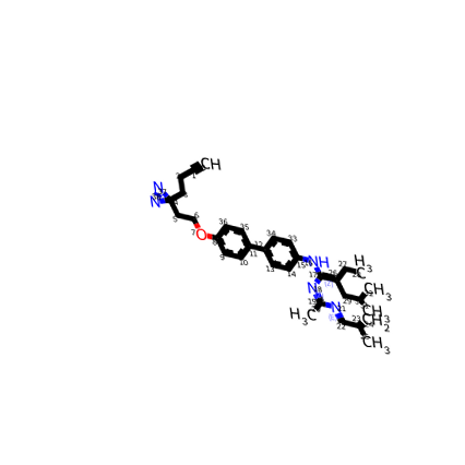 C#CCCC1(CCOc2ccc(-c3ccc(NC(/N=C(C)\N=C\C(=C)C)=C(\CC)CC(C)C)cc3)cc2)N=N1